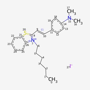 CCCCCCC[n+]1c(/C=C/c2ccc(N(C)C)cc2)sc2ccccc21.[I-]